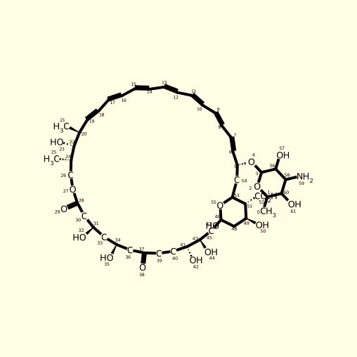 CC1OC(O[C@H]2/C=C/C=C/C=C/C=C/C=C/C=C/C=C/[C@H](C)[C@@H](O)[C@@H](C)COC(=O)C[C@H](O)C[C@H](O)CC(=O)CC[C@@H](O)[C@H](O)C[C@]3(O)C[C@H](O)[C@@H](C(=O)O)C(C2)O3)C(O)C(N)C1O